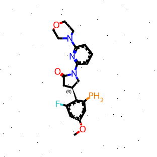 COc1cc(F)c([C@H]2CC(=O)N(c3cccc(N4CCOCC4)n3)C2)c(P)c1